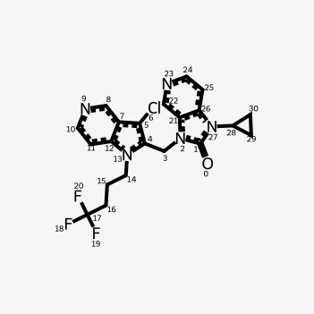 O=c1n(Cc2c(Cl)c3cnccc3n2CCCC(F)(F)F)c2cnccc2n1C1CC1